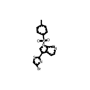 Cc1ccc(S(=O)(=O)n2cc(-c3nc(Br)cs3)c3ccnnc32)cc1